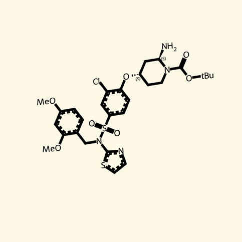 COc1ccc(CN(c2nccs2)S(=O)(=O)c2ccc(O[C@H]3CCN(C(=O)OC(C)(C)C)[C@H](N)C3)c(Cl)c2)c(OC)c1